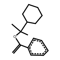 C=C(OC(C)(C)C1CCCCC1)c1ccccc1